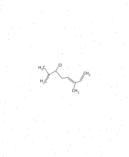 C=CC(C)=CCC(Cl)C(=C)C